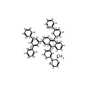 C[C@@H]1C=CC=NC1C1=CC(c2c3ccccc3c(C3C=CC=C(c4ccccn4)C3)c3ccc(-c4cc(-c5ccccc5)cc(-c5ccccc5)c4)cc23)=CCC1